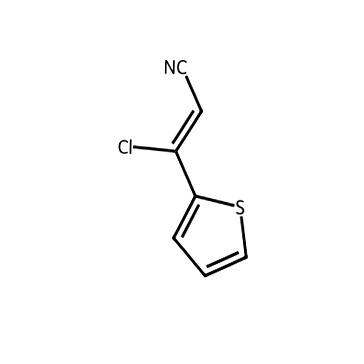 N#CC=C(Cl)c1cccs1